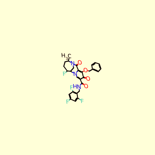 CC1CCC(F)C2CN1C(=O)c1c(OCc3ccccc3)c(=O)c(C(=O)NCc3c(F)cc(F)cc3F)cn12